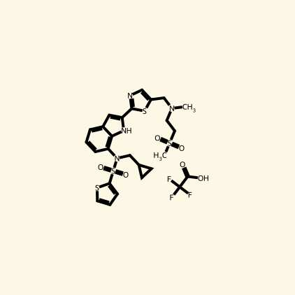 CN(CCS(C)(=O)=O)Cc1cnc(-c2cc3cccc(N(CC4CC4)S(=O)(=O)c4cccs4)c3[nH]2)s1.O=C(O)C(F)(F)F